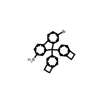 Bc1ccc2c(c1)C(c1ccc3c(c1)CC3)(c1ccc3c(c1)CC3)c1cc(Br)ccc1-2